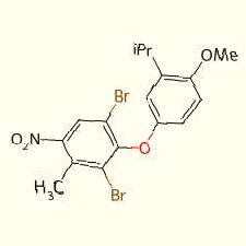 COc1ccc(Oc2c(Br)cc([N+](=O)[O-])c(C)c2Br)cc1C(C)C